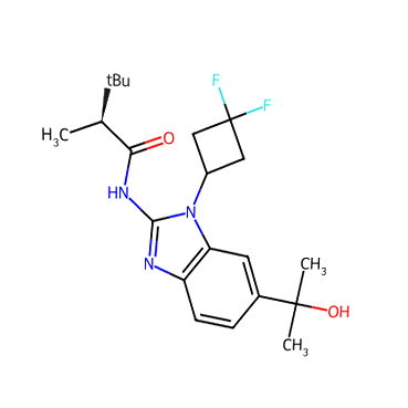 C[C@H](C(=O)Nc1nc2ccc(C(C)(C)O)cc2n1C1CC(F)(F)C1)C(C)(C)C